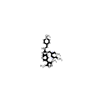 C=C/C=C\C(=C/C)Cn1c(NCC2CCN(C)CC2)nc2ncc(-c3c(C)noc3C)cc21